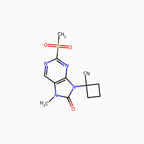 Cn1c(=O)n(C2(C#N)CCC2)c2nc(S(C)(=O)=O)ncc21